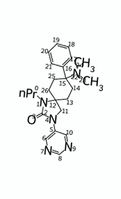 CCCN1C(=O)N(c2cncnc2)CC12CCC(c1ccccc1)(N(C)C)CC2